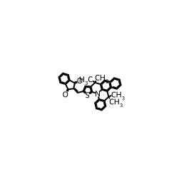 CC1(C)c2cc(C=C3C(=O)c4ccccc4C3=O)sc2N2c3ccccc3C(C)(C)c3c2c1cc1ccccc31